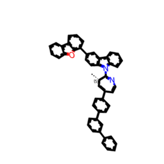 C[C@H]1C=C(c2ccc(-c3cccc(-c4ccccc4)c3)cc2)C=CN=C1n1c2ccccc2c2cc(-c3cccc4c3oc3ccccc34)ccc21